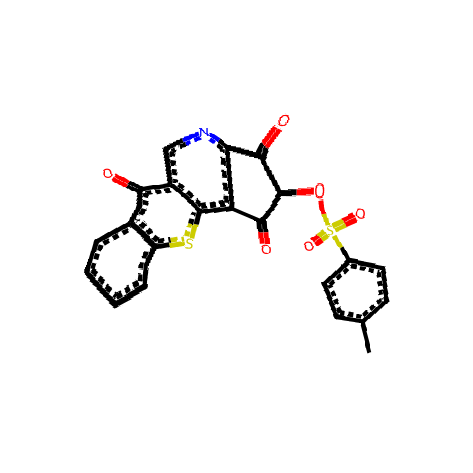 Cc1ccc(S(=O)(=O)OC2C(=O)c3ncc4c(=O)c5ccccc5sc4c3C2=O)cc1